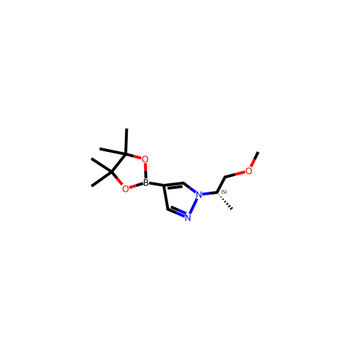 COC[C@H](C)n1cc(B2OC(C)(C)C(C)(C)O2)cn1